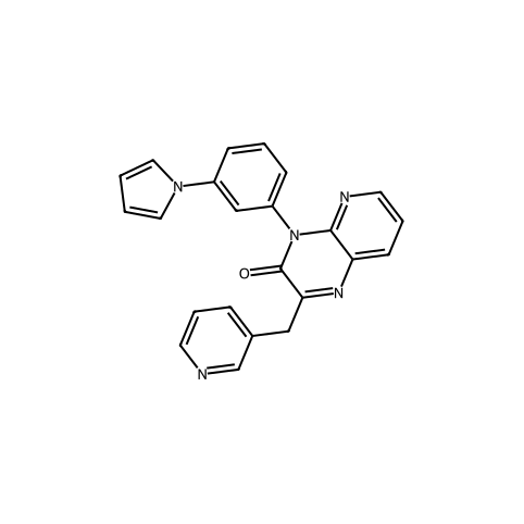 O=c1c(Cc2cccnc2)nc2cccnc2n1-c1cccc(-n2cccc2)c1